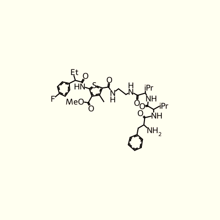 CCC(C(=O)Nc1sc(C(=O)NCCNC(=O)C(NC(=O)C(NC(=O)C(N)Cc2ccccc2)C(C)C)C(C)C)c(C)c1C(=O)OC)c1ccc(F)cc1